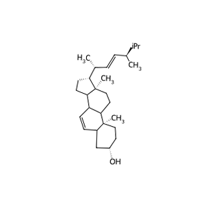 CC(C)[C@@H](C)/C=C/[C@@H](C)[C@H]1CCC2C3C=CC4C[C@@H](O)CC[C@]4(C)C3CC[C@@]21C